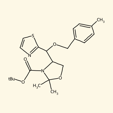 Cc1ccc(COC(c2nccs2)C2COC(C)(C)N2C(=O)OC(C)(C)C)cc1